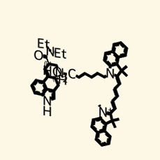 CCN(CC)C(=O)[C@@H]1C=C2c3cccc4[nH]cc(c34)C[C@H]2N(C)C1.C[N+]1=C(C=CC=CC=C2N(CCCCCC(=O)O)c3ccc4ccccc4c3C2(C)C)C(C)(C)c2c1ccc1ccccc21